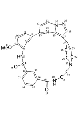 COc1ncc2cc1N[S+]([O-])c1cccc(c1)C(=O)NCCN1CC=C(CC1)c1cnn3ccc-2nc13